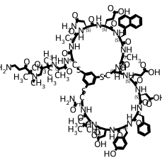 C[C@H](NC(C)(C)C(=O)CN(C)C(C)(C)C(=O)CCN)C(=O)N[C@H]1CSc2cc3cc(c2)SC[C@@H](NC(=O)[C@@H](C)NC(=O)[C@H](Cc2cccc4ccccc24)NC(=O)[C@H](CCC(=O)O)NC(=O)[C@H](CC(N)=O)NC(=O)[C@@H](C)NC1=O)C(=O)N[C@@H](CCC(=O)O)C(=O)N[C@@H](CC(=O)O)C(=O)N[C@@H](Cc1ccccc1)C(=O)N[C@@H](Cc1ccc(O)cc1)C(=O)NC(CC(=O)O)C(=O)N[C@@H](C(C)(C)C)C(=O)N[C@H](C(N)=O)CS3